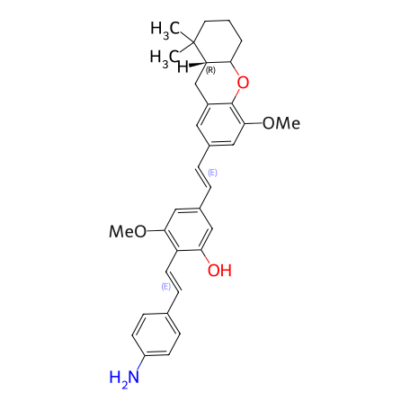 COc1cc(/C=C/c2cc3c(c(OC)c2)OC2CCCC(C)(C)[C@H]2C3)cc(O)c1/C=C/c1ccc(N)cc1